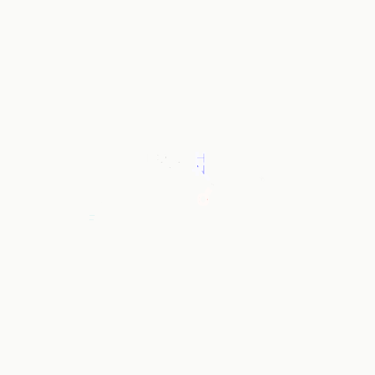 O=C(N[C@H](CC#Cc1cccc(F)c1)C(=O)O)c1ccc2ccccc2c1